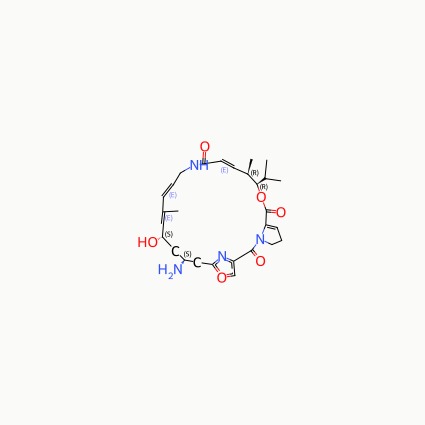 CC1=C\[C@@H](O)C[C@H](N)Cc2nc(co2)C(=O)N2CCC=C2C(=O)O[C@H](C(C)C)[C@H](C)/C=C/C(=O)NC\C=C\1